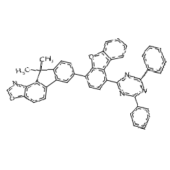 CC1(C)c2ccc(-c3ccc(-c4nc(-c5ccccc5)nc(-c5ccccc5)n4)c4c3oc3ccccc34)cc2-c2ccc3ocnc3c21